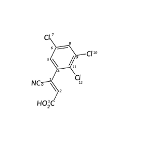 N#CC(=CC(=O)O)c1cc(Cl)cc(Cl)c1Cl